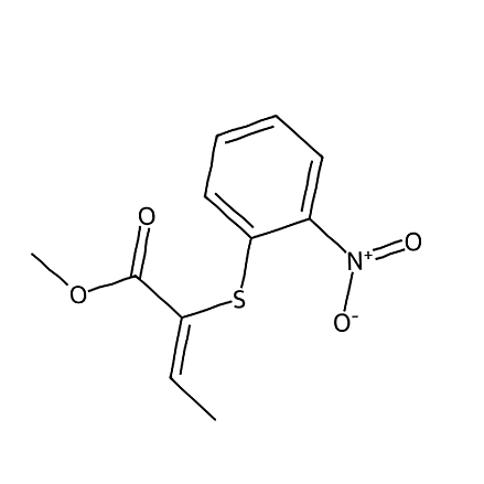 C/C=C(\Sc1ccccc1[N+](=O)[O-])C(=O)OC